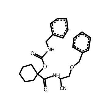 N#CC(COCc1ccccc1)NC(=O)C1(OC(=O)NCc2ccccc2)CCCCC1